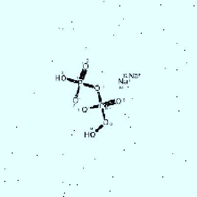 O=P([O-])(O)OP(=O)([O-])OO.[Na+].[Na+]